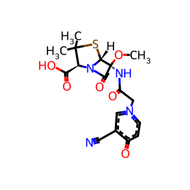 CO[C@@]1(NC(=O)Cn2ccc(=O)c(C#N)c2)C(=O)N2[C@@H](C(=O)O)C(C)(C)S[C@@H]21